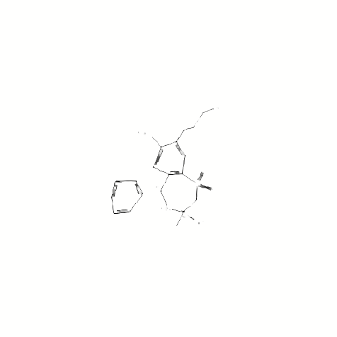 CCC[C@]1(CC)CS(=O)(=O)c2cc(CCCBr)c(OC)cc2[C@@H](c2ccccc2)N1